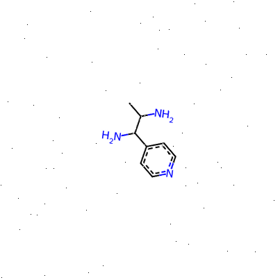 CC(N)C(N)c1ccncc1